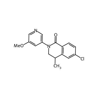 COc1cncc(N2CC(C)c3cc(Cl)ccc3C2=O)c1